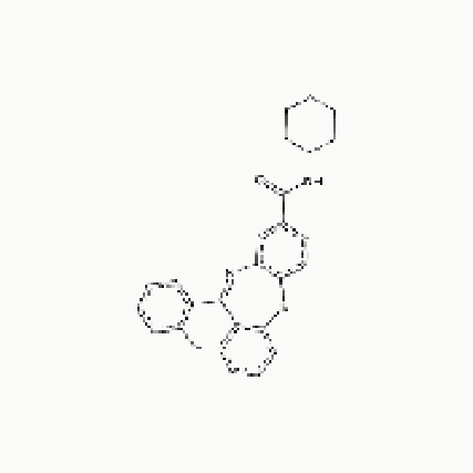 O=C(NC1CCCCC1)c1ccc2c(c1)N=C(c1ccccc1F)c1ccccc1S2